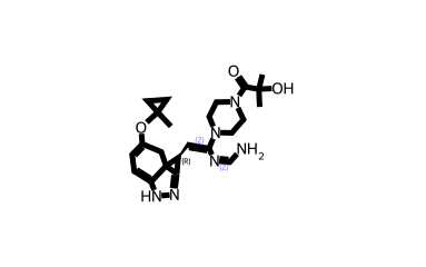 CC1(OC2=CC=C3NN=C4[C@H](/C=C(\N=C/N)N5CCN(C(=O)C(C)(C)O)CC5)C34C2)CC1